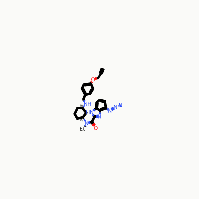 C#CCOc1ccc(CN[C@@H]2CCC[C@H](N(CC)C(=O)c3nc4c(N=[N+]=[N-])cccc4[nH]3)C2)cc1